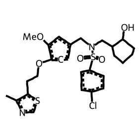 COc1cc(CN(CC2CCCCC2O)S(=O)(=O)c2ccc(Cl)cc2)ccc1OCCc1scnc1C